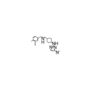 Cc1ccc(CNCC2CCC(Nc3nccc(N(C)C)n3)CC2)cc1I